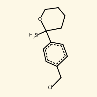 [SiH3]C1(c2ccc(CCl)cc2)CCCCO1